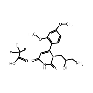 COc1ccc(-c2cc(=O)[nH]c(=S)n2C[C@H](O)CN)c(OC)c1.O=C(O)C(F)(F)F